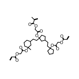 C=CC(=O)OCC(=O)OC1(C)CCCC(CCC2(OC(=O)COC(=O)C(=C)C)CCC(CCC3(OC(=O)COC(=O)C=C)CCCC3)C2)C1